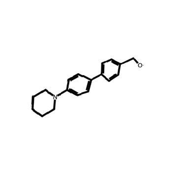 [O]Cc1ccc(-c2ccc(N3CCCCC3)cc2)cc1